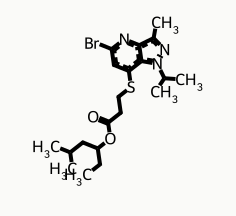 CCC(CC(C)C)OC(=O)CCSc1cc(Br)nc2c(C)nn(C(C)C)c12